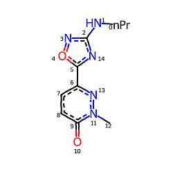 CCCNc1noc(-c2ccc(=O)n(C)n2)n1